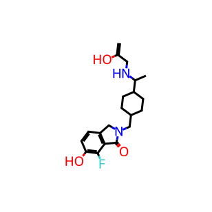 C=C(O)CNC(C)C1CCC(CN2Cc3ccc(O)c(F)c3C2=O)CC1